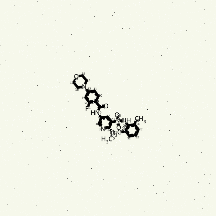 COc1ncc(NC(=O)c2ccc(N3CCOCC3)cc2F)cc1S(=O)(=O)Nc1c(C)cccc1C